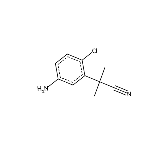 CC(C)(C#N)c1cc(N)ccc1Cl